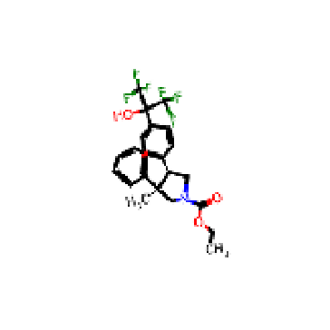 CCOC(=O)N1C[C@H](c2ccc(C(O)(C(F)(F)F)C(F)(F)F)cc2)[C@](C)(c2ccccc2)C1